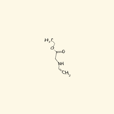 C=CNCC(=O)OCC